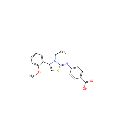 CCn1c(-c2ccccc2OC)csc1=Nc1ccc(C(=O)O)cc1